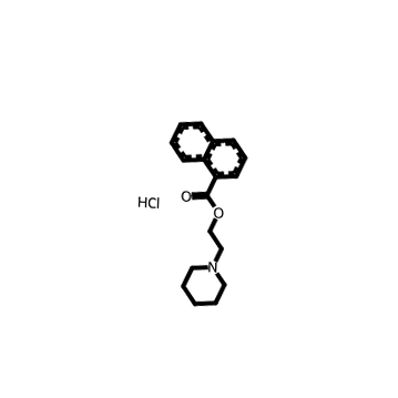 Cl.O=C(OCCN1CCCCC1)c1cccc2ccccc12